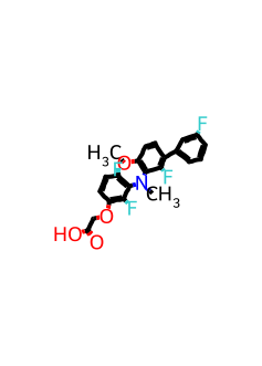 COc1ccc(-c2cccc(F)c2)c(F)c1N(C)c1c(F)ccc(OCC(=O)O)c1F